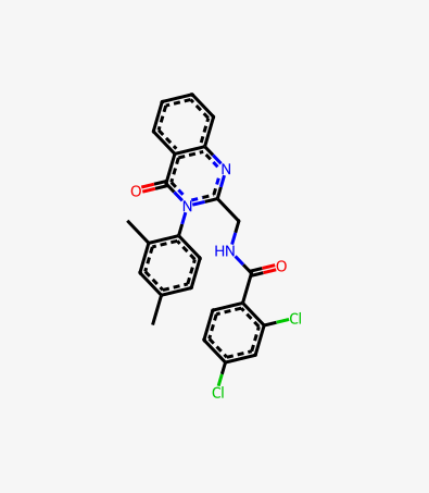 Cc1ccc(-n2c(CNC(=O)c3ccc(Cl)cc3Cl)nc3ccccc3c2=O)c(C)c1